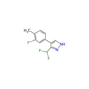 Cc1ccc(-c2c[nH]nc2C(F)F)cc1F